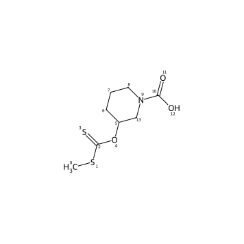 CSC(=S)OC1CCCN(C(=O)O)C1